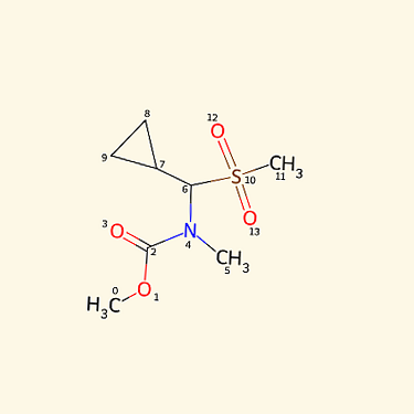 COC(=O)N(C)C(C1CC1)S(C)(=O)=O